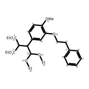 CCOC(=O)C(C(=O)OCC)C(c1ccc(OC)c(OCCc2ccccc2)c1)C(OCC)OCC